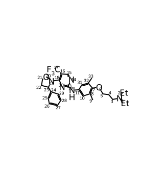 CCN(CC)CCCOc1c(C)cc(Nc2ncc(C(F)(F)F)c(N3OCCC3c3ccccc3)n2)cc1C